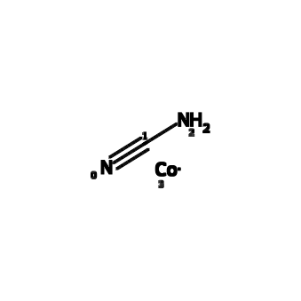 N#CN.[Co]